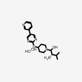 CC(C)[C@H](N)C(O)N1CCC(Oc2ncc(-c3cccnc3)cn2)CC1.Cl.Cl